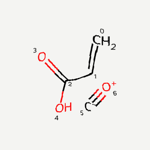 C=CC(=O)O.[C-]#[O+]